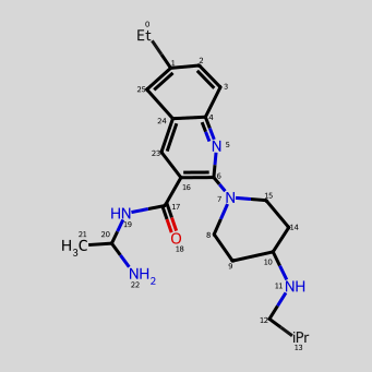 CCc1ccc2nc(N3CCC(NCC(C)C)CC3)c(C(=O)NC(C)N)cc2c1